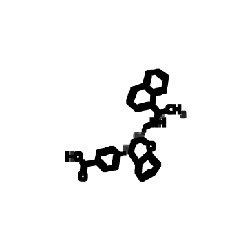 C[C@@H](NC[C@H]1C[C@@H](c2ccc(C(=O)O)cc2)c2ccccc2O1)c1cccc2ccccc12